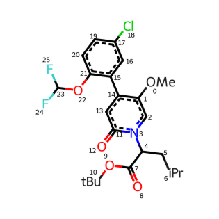 COc1cn(C(CC(C)C)C(=O)OC(C)(C)C)c(=O)cc1-c1cc(Cl)ccc1OC(F)F